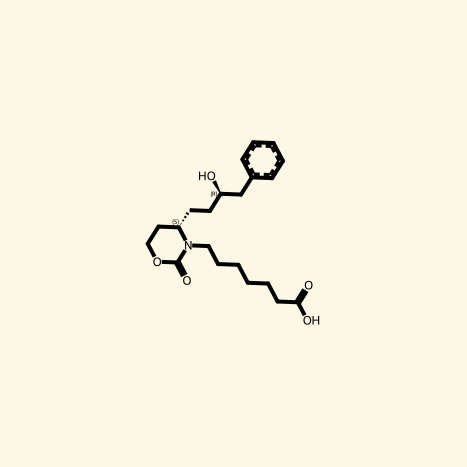 O=C(O)CCCCCCN1C(=O)OCC[C@@H]1CC[C@@H](O)Cc1ccccc1